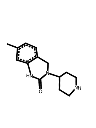 Cc1ccc2c(c1)NC(=O)N(C1CCNCC1)C2